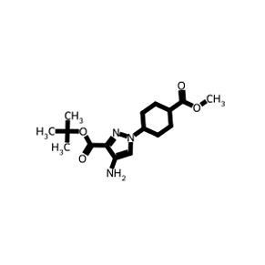 COC(=O)C1CCC(n2cc(N)c(C(=O)OC(C)(C)C)n2)CC1